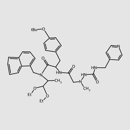 CCOC(OCC)C(C)N(Cc1cccc2ccccc12)C(=O)C(Cc1ccc(OC(C)(C)C)cc1)NC(=O)CN(C)NC(=O)NCc1ccncc1